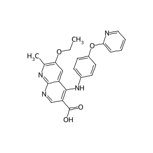 CCOc1cc2c(Nc3ccc(Oc4ccccn4)cc3)c(C(=O)O)cnc2nc1C